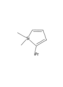 CC(C)C1=CC=C[Si]1(C)C